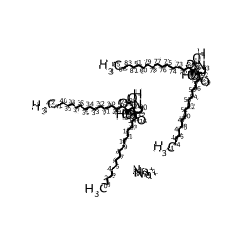 CCCCCCCCCCCCCCCC(=O)C1(O)CCN[C@@]1(C(=O)[O-])C(=O)CCCCCCCCCCCCCCC.CCCCCCCCCCCCCCCC(=O)C1(O)CCN[C@@]1(C(=O)[O-])C(=O)CCCCCCCCCCCCCCC.[Na+].[Na+]